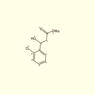 COC(=O)CC(O)c1ccccc1Cl